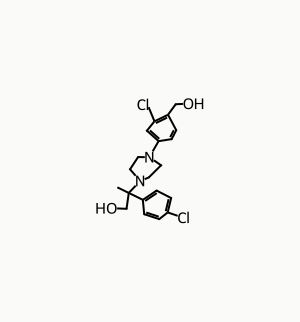 CC(CO)(c1ccc(Cl)cc1)N1CCN(c2ccc(CO)c(Cl)c2)CC1